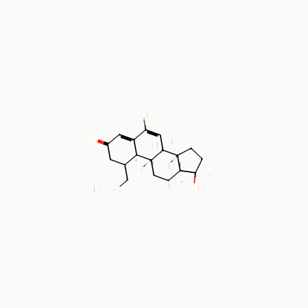 CC(=O)[C@@]1(O)CC[C@H]2[C@@H]3C=C(Cl)C4=CC(=O)CC(CC(=O)O)[C@]4(C)[C@H]3CC[C@@]21C